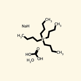 CCCC[N+](CCCC)(CCCC)CCCC.O.O=C(O)O.[NaH]